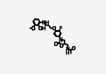 COc1cccc(NCCCOc2ccc(N3CC(CNC(C)=O)OC3=O)cc2F)c1O